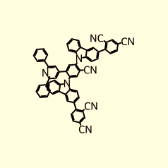 N#Cc1ccc(-c2ccc3c(c2)c2ccccc2n3-c2cc(-c3cc(-c4ccccc4)nc(-c4ccccc4)c3)c(-n3c4ccccc4c4cc(-c5ccc(C#N)cc5C#N)ccc43)cc2C#N)c(C#N)c1